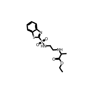 CCOC(=O)C(C)NCCNS(=O)(=O)c1nc2ccccc2s1